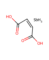 O=C(O)/C=C\C(=O)O.[SbH3]